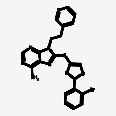 Nc1ncnc2c1nc(SC1=COC(c3ccccc3Br)O1)n2CCc1cccnc1